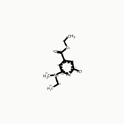 CCOC(=O)c1cc(Cl)nc(N(C)CC)c1